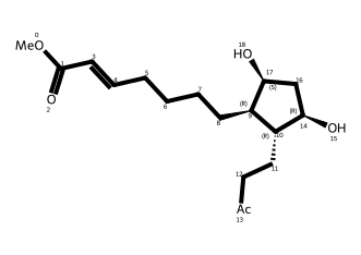 COC(=O)C=CCCCC[C@@H]1[C@@H](CCC(C)=O)[C@H](O)C[C@@H]1O